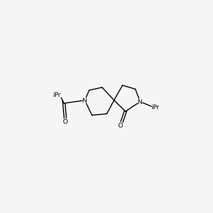 CC(C)C(=O)N1CCC2(CC1)CCN(C(C)C)C2=O